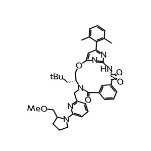 COCC1CCCN1c1cccc(CN2C(=O)c3cccc(c3)S(=O)(=O)Nc3nc(cc(-c4c(C)cccc4C)n3)OC[C@H]2CC(C)(C)C)n1